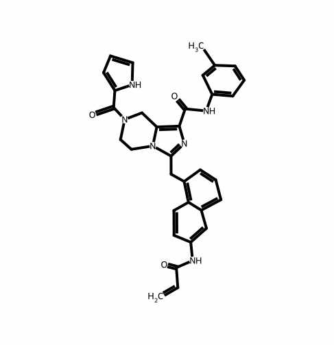 C=CC(=O)Nc1ccc2c(Cc3nc(C(=O)Nc4cccc(C)c4)c4n3CCN(C(=O)c3ccc[nH]3)C4)cccc2c1